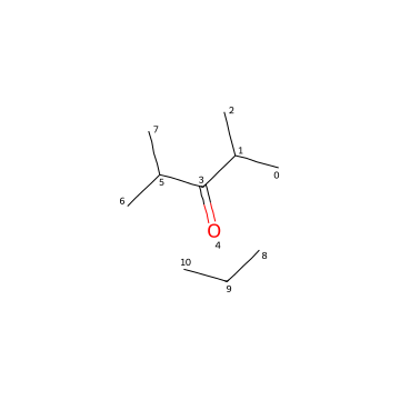 CC(C)C(=O)C(C)C.CCC